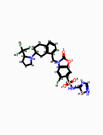 O=c1oc2cc(S(=O)(=O)Nc3ncns3)c(F)cc2n1Cc1cccc2c1CC(N1CCCC1C(F)(F)F)CC2